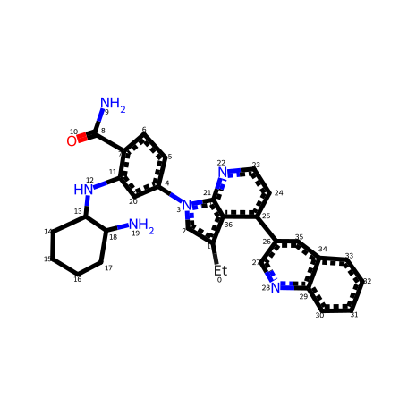 CCc1cn(-c2ccc(C(N)=O)c(NC3CCCCC3N)c2)c2nccc(-c3cnc4ccccc4c3)c12